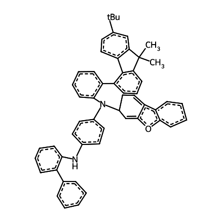 CC(C)(C)c1ccc2c(c1)C(C)(C)c1cccc(-c3ccccc3N(c3ccc(Nc4ccccc4-c4ccccc4)cc3)C3C=c4oc5ccccc5c4=CC3)c1-2